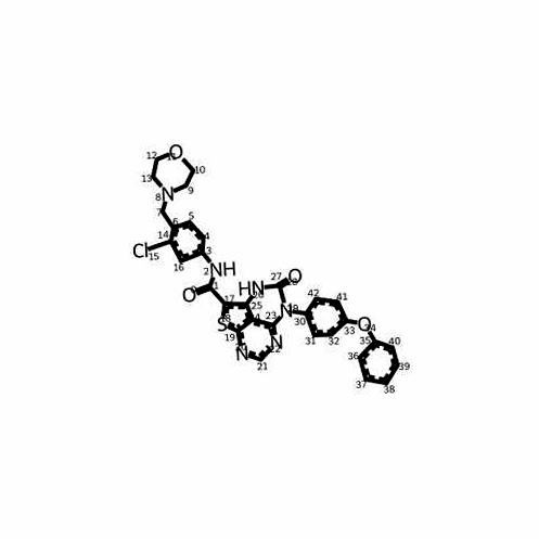 O=C(Nc1ccc(CN2CCOCC2)c(Cl)c1)c1sc2ncnc3c2c1NC(=O)N3c1ccc(Oc2ccccc2)cc1